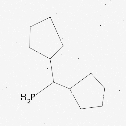 PC(C1CCCC1)C1CCCC1